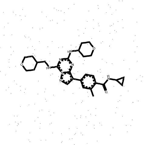 Cc1cc(-c2cnn3c(NCC4CCOCC4)nc(NC4CCOCC4)nc23)ccc1C(=O)NC1CC1